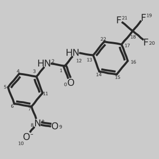 O=C(Nc1cccc([N+](=O)[O-])c1)Nc1cccc(C(F)(F)F)c1